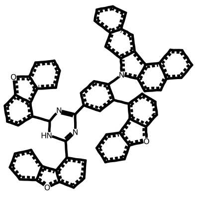 c1ccc2cc3c(cc2c1)c1c2ccccc2ccc1n3-c1ccc(C2=NC(c3cccc4oc5ccccc5c34)NC(c3cccc4oc5ccccc5c34)=N2)cc1-c1cccc2oc3ccccc3c12